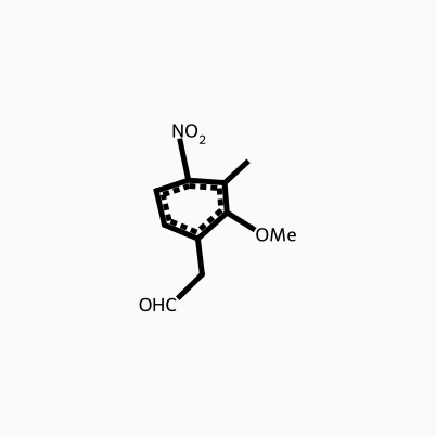 COc1c(CC=O)ccc([N+](=O)[O-])c1C